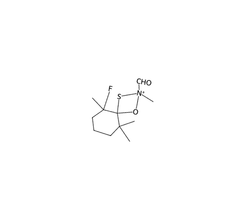 CC1(C)CCCC(C)(F)C12O[N+](C)(C=O)S2